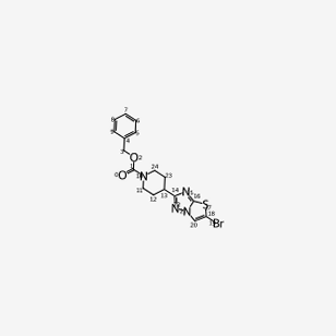 O=C(OCc1ccccc1)N1CCC(c2nc3sc(Br)cn3n2)CC1